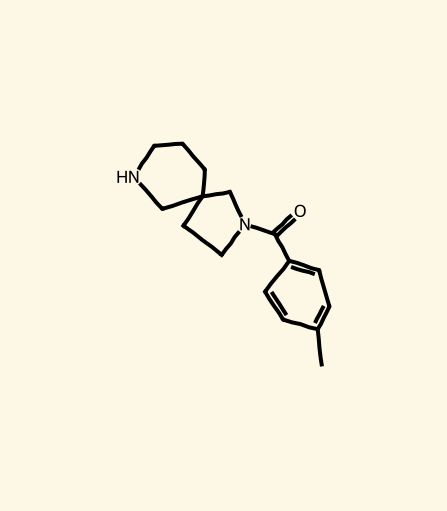 Cc1ccc(C(=O)N2CCC3(CCCNC3)C2)cc1